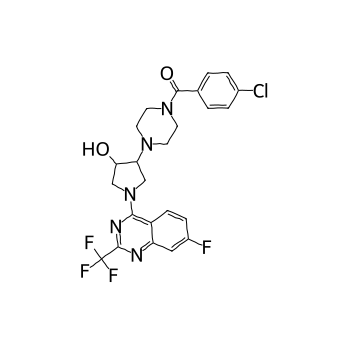 O=C(c1ccc(Cl)cc1)N1CCN(C2CN(c3nc(C(F)(F)F)nc4cc(F)ccc34)CC2O)CC1